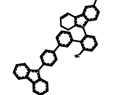 N#Cc1ccc2c(c1)c1c(n2-c2cccc(C#N)c2-c2cccc(-c3ccc(-n4c5ccccc5c5ccccc54)cc3)c2)CCC=C1